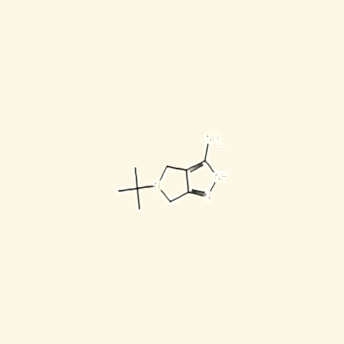 CC(C)(C)N1Cc2n[nH]c(N)c2C1